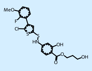 COc1cccc(-c2cc(SNc3ccc(C(=O)OCCCO)c(O)c3)sc2Cl)c1F